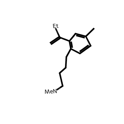 C=C(CC)c1cc(C)ccc1CCCCNC